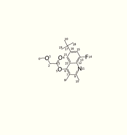 COCC(=O)Oc1c(C)c(C)nc2c(F)cc(C(C)(C)C)cc12